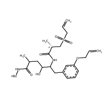 C=CCOc1cccc(CC(NC(=O)[C@H](C)CS(=O)(=O)CC=C)C(O)CC(C)C(=O)NCCCC)c1